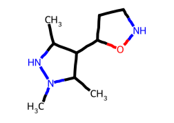 CC1NN(C)C(C)C1C1CCNO1